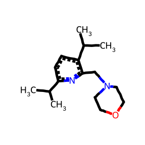 CC(C)c1ccc(C(C)C)c(CN2CCOCC2)n1